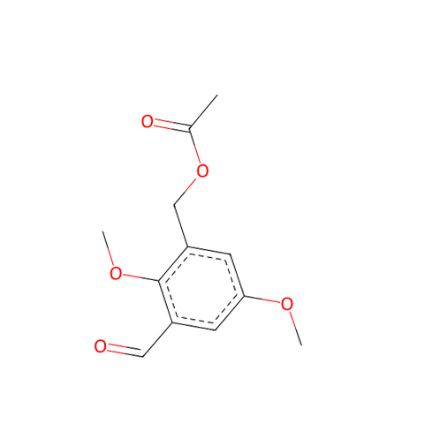 COc1cc(C=O)c(OC)c(COC(C)=O)c1